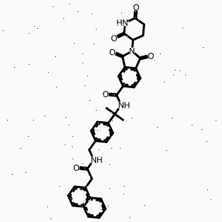 CC(C)(NC(=O)c1ccc2c(c1)C(=O)N(C1CCC(=O)NC1=O)C2=O)c1ccc(CNC(=O)Cc2cccc3ccccc23)cc1